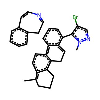 C1=Cc2ccccc2CC=N1.CC1=c2ccc3c(c2CCC1)CC=c1c(-c2c(Br)cnn2C)cccc1=3